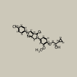 COc1cc(N2Cc3nn(-c4ccc(Cl)cc4)cc3C2=O)ccc1OC[C@H](O)C1CC1